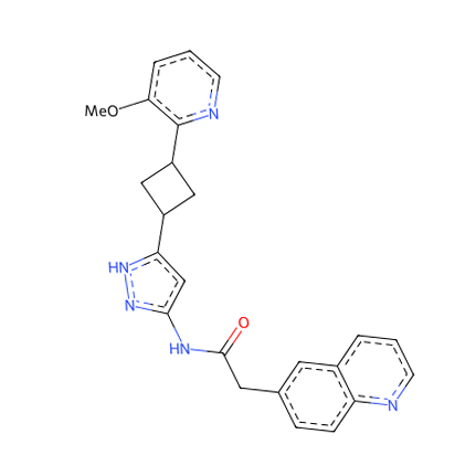 COc1cccnc1C1CC(c2cc(NC(=O)Cc3ccc4ncccc4c3)n[nH]2)C1